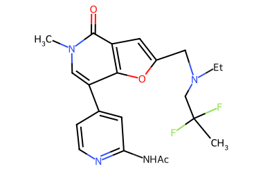 CCN(Cc1cc2c(=O)n(C)cc(-c3ccnc(NC(C)=O)c3)c2o1)CC(C)(F)F